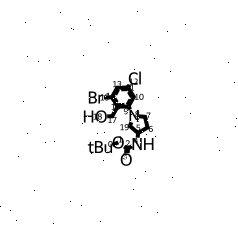 CC(C)(C)OC(=O)NC1CCN(c2cc(Cl)cc(Br)c2CO)C1